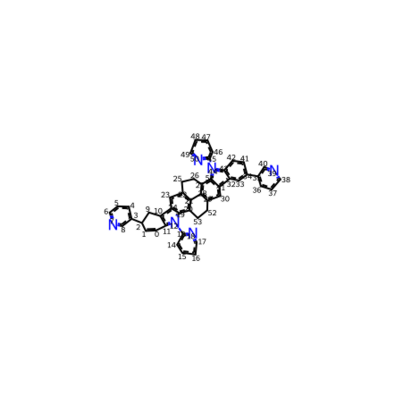 C1=CC(c2cccnc2)Cc2c1n(-c1ccccn1)c1c3c4c(cc21)CCc1c-4c(cc2c4cc(-c5cccnc5)ccc4n(-c4ccccn4)c12)CC3